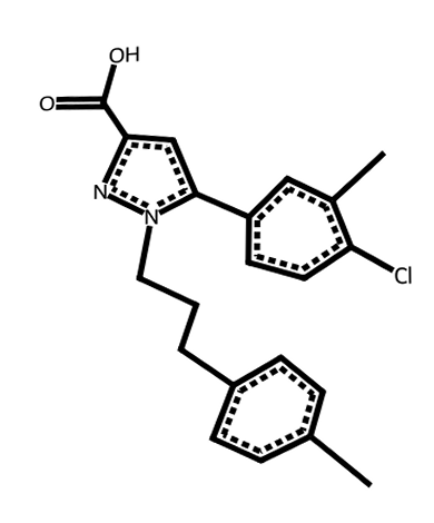 Cc1ccc(CCCn2nc(C(=O)O)cc2-c2ccc(Cl)c(C)c2)cc1